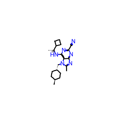 Cc1nc2nc(C#N)nc(N[C@H](C)C3CCC3)c2n1C[C@H]1CC[C@H](C)CC1